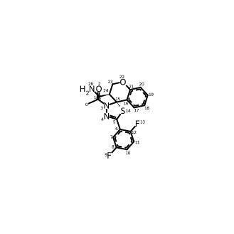 CC(=O)N1N=C(c2cc(F)ccc2F)S[C@]12c1ccccc1OC[C@@H]2CN